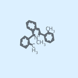 Cc1ccccc1-c1cc2ccccc2c(-c2ccccc2C)[n+]1C